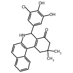 CC1(C)CC(=O)C2=C(C1)c1c(ccc3ccccc13)NC2c1cc(O)c(O)c(Cl)c1